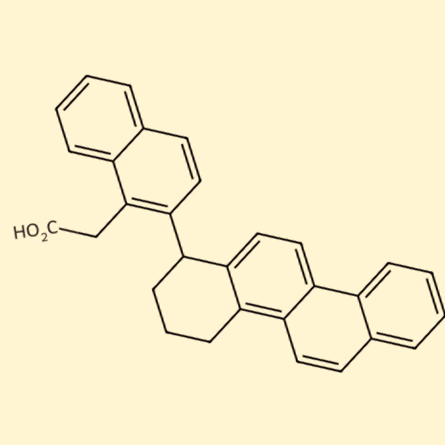 O=C(O)Cc1c(C2CCCc3c2ccc2c3ccc3ccccc32)ccc2ccccc12